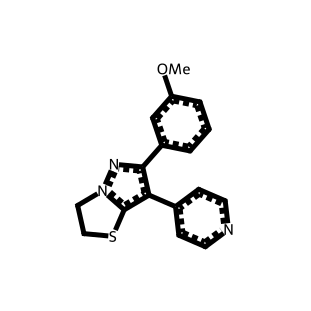 COc1cccc(-c2nn3c(c2-c2ccncc2)SCC3)c1